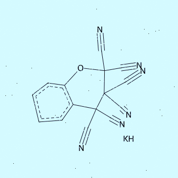 N#CC1(C#N)Oc2ccccc2C(C#N)(C#N)C1(C#N)C#N.[KH]